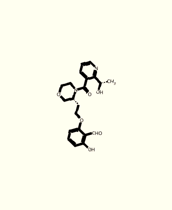 C[C@H](O)c1ncccc1C(=O)N1CCOC[C@H]1CCOc1cccc(O)c1C=O